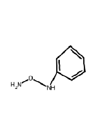 NONc1ccccc1